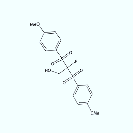 COc1ccc(S(=O)(=O)C(F)(CO)S(=O)(=O)c2ccc(OC)cc2)cc1